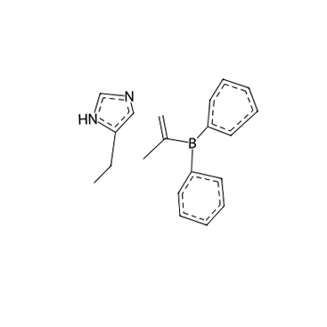 C=C(C)B(c1ccccc1)c1ccccc1.CCc1cnc[nH]1